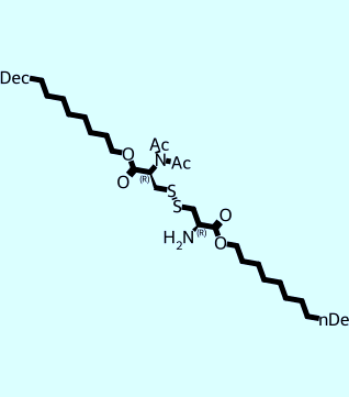 CCCCCCCCCCCCCCCCCCOC(=O)[C@@H](N)CSSC[C@@H](C(=O)OCCCCCCCCCCCCCCCCCC)N(C(C)=O)C(C)=O